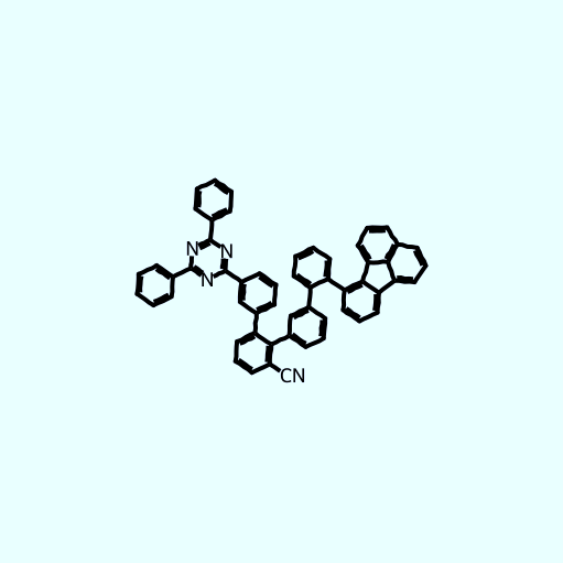 N#Cc1cccc(-c2cccc(-c3nc(-c4ccccc4)nc(-c4ccccc4)n3)c2)c1-c1cccc(-c2ccccc2-c2cccc3c2-c2cccc4cccc-3c24)c1